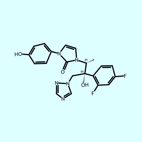 C[C@@H](n1ccn(-c2ccc(O)cc2)c1=O)[C@](O)(Cn1cncn1)c1ccc(F)cc1F